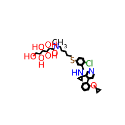 CN(CCCCCSc1ccc(Cl)c(CNC2(c3cnccc3-c3ccccc3OC3CC3)CC2)c1)C(=O)C(O)C(O)C(O)C(O)CO